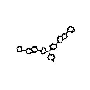 Fc1ccc(N(c2ccc(-c3ccc4cc(-c5ccccc5)ccc4c3)cc2)c2ccc(-c3ccc4cc(-c5ccccc5)ccc4c3)cc2)cc1